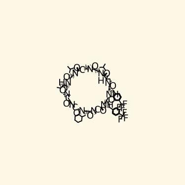 CC[C@H](C)[C@@H]1NC(=O)[C@H](CC(C)C)N(C)C(=O)C[C@@H](C)N(C)C(=O)[C@H](CC(C)C)NC(=O)C(C)(C)N(C)C(=O)[C@H](Cc2ccc(C(F)F)cc2)NC(=O)[C@H](CCc2ccc(C(F)(F)F)c(F)c2)NC(=O)CN(C)C(=O)[C@H](CC2CCCCC2)N(C)C(=O)CN(C)C(=O)CN(C)C1=O